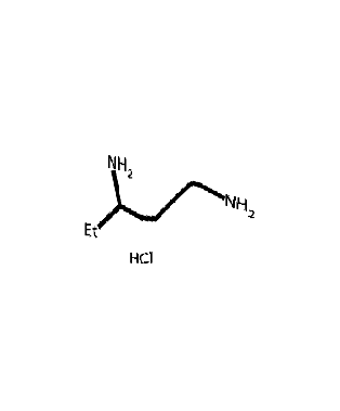 CCC(N)CCN.Cl